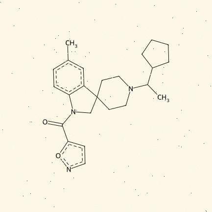 Cc1ccc2c(c1)C1(CCN(C(C)C3CCCC3)CC1)CN2C(=O)c1ccno1